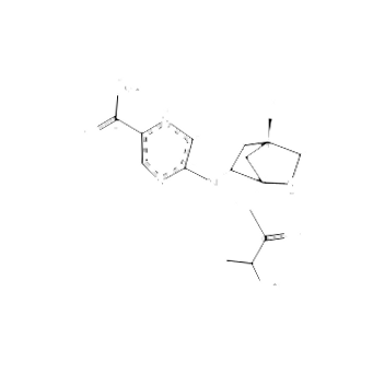 CCCCCC(C)C(=O)O[C@]12C[C@@H](CN1)C[C@H]2Nc1cnc(C(=O)OC)cn1